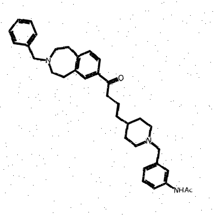 CC(=O)Nc1cccc(CN2CCC(CCCC(=O)c3ccc4c(c3)CCN(Cc3ccccc3)CC4)CC2)c1